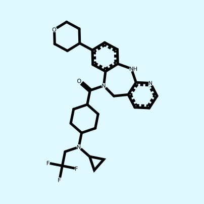 O=C(C1CCC(N(CC(F)(F)F)C2CC2)CC1)N1Cc2cccnc2Nc2ccc(C3CCOCC3)cc21